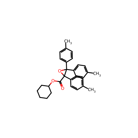 Cc1ccc(C2(C(=O)OC3CCCCC3)OC2(c2ccc(C)cc2)c2ccc(C)cc2)cc1